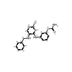 NC(=O)Oc1cccc(Nc2nc(Cl)ncc2NCc2ccccc2)c1